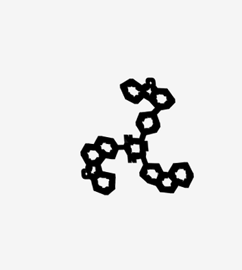 c1ccc2c(c1)ccc1ccc(-c3nc(-c4ccc(-c5cccc6oc7ccccc7c56)cc4)nc(-c4ccc5ccc6oc7ccccc7c6c5c4)n3)cc12